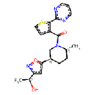 C[C@@H]1CC[C@@H](c2cc([C@@H](O)C(F)(F)F)no2)CN1C(=O)c1ccsc1-c1ncccn1